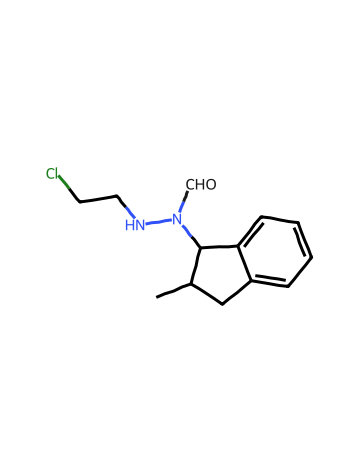 CC1Cc2ccccc2C1N(C=O)NCCCl